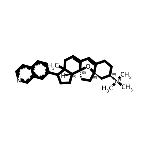 CC12CC=C3C=C4CC[C@@H]([N+](C)(C)C)C[C@]45CC[C@]3(O5)[C@@H]1CCC2c1ccc2ccncc2c1